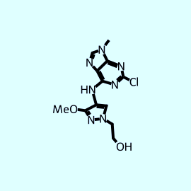 COc1nn(CCO)cc1Nc1nc(Cl)nc2c1ncn2C